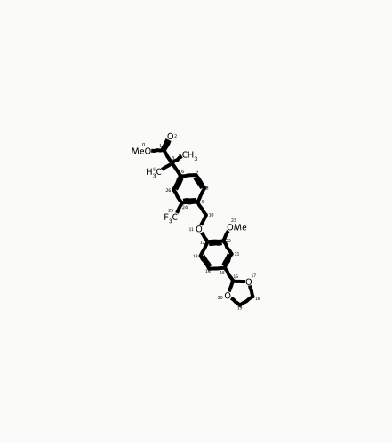 COC(=O)C(C)(C)c1ccc(COc2ccc(C3OCCO3)cc2OC)c(C(F)(F)F)c1